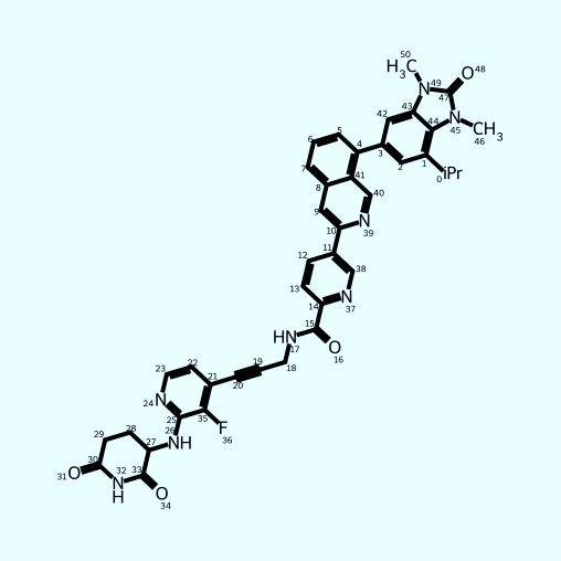 CC(C)c1cc(-c2cccc3cc(-c4ccc(C(=O)NCC#Cc5ccnc(NC6CCC(=O)NC6=O)c5F)nc4)ncc23)cc2c1n(C)c(=O)n2C